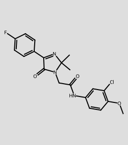 COc1ccc(NC(=O)CN2C(=O)C(c3ccc(F)cc3)=NC2(C)C)cc1Cl